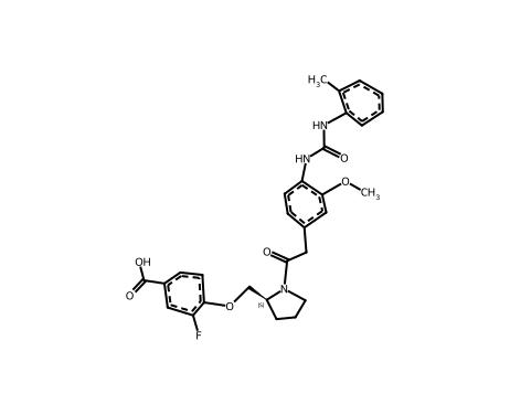 COc1cc(CC(=O)N2CCC[C@H]2COc2ccc(C(=O)O)cc2F)ccc1NC(=O)Nc1ccccc1C